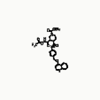 CC(C)COC(=O)N1CCC(C(=O)Nc2ccc(COc3ccnc4ccccc34)cc2)C(C(=O)NOC(=O)C(F)(F)F)C1